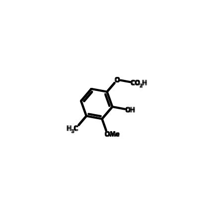 COc1c(C)ccc(OC(=O)O)c1O